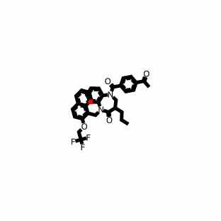 CCCC1CN(C(=O)c2ccc(C(C)=O)cc2)c2ccccc2N(Cc2c(OCC(F)(F)F)ccc3ccccc23)C1=O